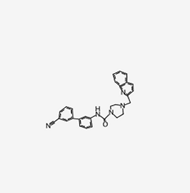 N#Cc1cccc(-c2cccc(NC(=O)N3CCN(Cc4ccc5ccccc5n4)CC3)c2)c1